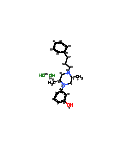 C[C@@H]1CN(c2cccc(O)c2)[C@H](C)CN1CCCc1ccccc1.Cl.Cl